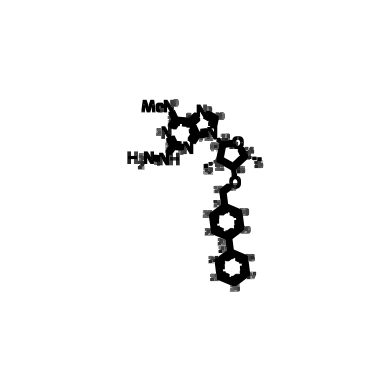 CNc1nc(NN)nc2c1ncn2[C@@H]1O[C@H](C)[C@@H](OCc2ccc(-c3ccccc3)cc2)[C@@H]1C